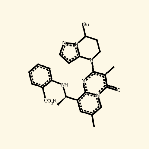 Cc1cc([C@@H](C)Nc2ccccc2C(=O)O)c2nc(N3CCC(C(C)(C)C)n4nccc43)c(C)c(=O)n2c1